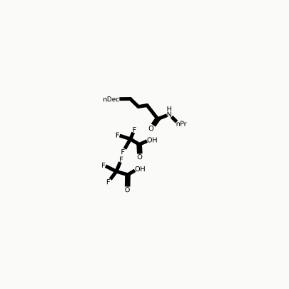 CCCCCCCCCCCCCC(=O)NCCC.O=C(O)C(F)(F)F.O=C(O)C(F)(F)F